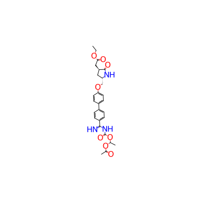 CCOC(=O)C[C@@H]1C[C@@H](COc2ccc(-c3ccc(C(=N)NC(=O)OC(C)OC(C)=O)cc3)cc2)NC1=O